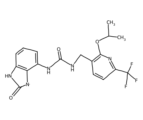 CC(C)Oc1nc(C(F)(F)F)ccc1CNC(=O)Nc1cccc2c1[N]C(=O)N2